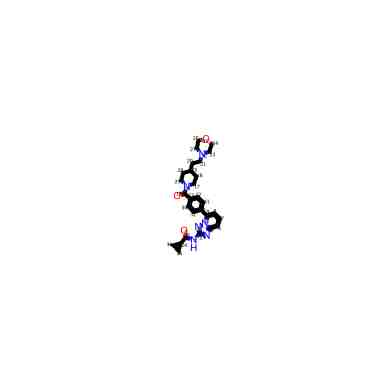 O=C(Nc1nc2cccc(-c3ccc(C(=O)N4CCC(CCN5CCOCC5)CC4)cc3)n2n1)C1CC1